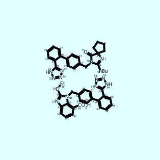 CCCCC1=NC2(CCCC2)C(=O)N1Cc1ccc(-c2ccccc2-c2nnn[nH]2)cc1.CCOc1nc2cccc(C(=O)O)c2n1Cc1ccc(-c2ccccc2-c2nnn[nH]2)cc1